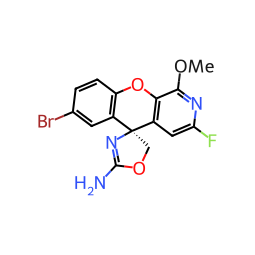 COc1nc(F)cc2c1Oc1ccc(Br)cc1[C@@]21COC(N)=N1